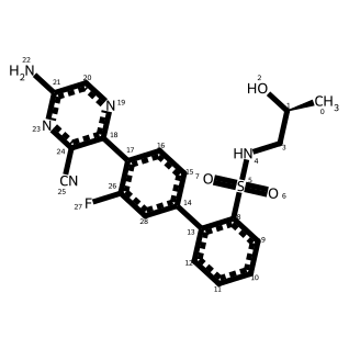 C[C@H](O)CNS(=O)(=O)c1ccccc1-c1ccc(-c2ncc(N)nc2C#N)c(F)c1